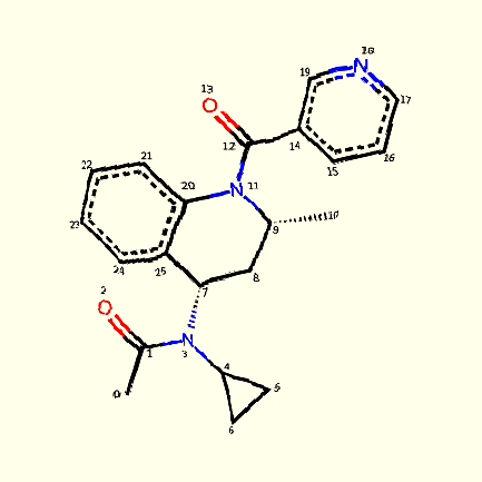 CC(=O)N(C1CC1)[C@H]1C[C@@H](C)N(C(=O)c2cccnc2)c2ccccc21